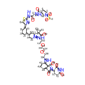 CS(=O)(=O)n1ccc(C(=O)NCC(=O)Nc2nc(-c3cccc(-c4ccnc(C5(C(=O)NCCOCCOCCNc6cccc7c6C(=O)N(C6CCC(=O)NC6=O)C7=O)CC5)c4)c3)cs2)c1